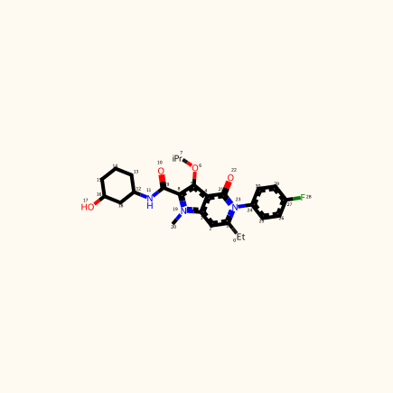 CCc1cc2c(c(OC(C)C)c(C(=O)NC3CCCC(O)C3)n2C)c(=O)n1-c1ccc(F)cc1